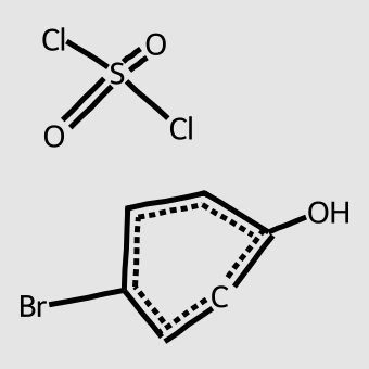 O=S(=O)(Cl)Cl.Oc1ccc(Br)cc1